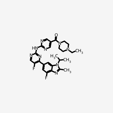 CCN1CCN(C(=O)c2cnc(Nc3ncc(F)c(-c4cc(F)c5nc(C)n(C(C)C)c5c4)n3)nc2)CC1